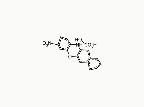 O=C(O)O.O=[N+]([O-])c1ccc2c(c1)Oc1cc3ccccc3cc1N2